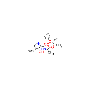 COc1ccnc(C(=O)N[C@@H](C)C(=O)O[C@H](C)[C@H](Oc2ccccc2)C(C)C)c1O